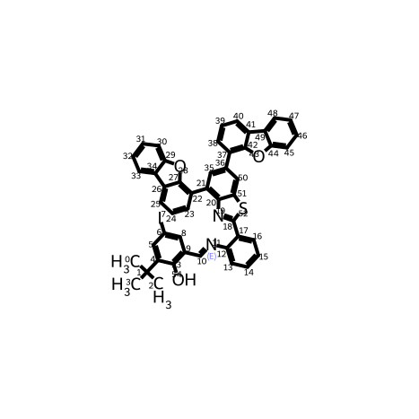 CC(C)(C)c1cc(I)cc(/C=N/c2ccccc2-c2nc3c(-c4cccc5c4oc4ccccc45)cc(-c4cccc5c4oc4ccccc45)cc3s2)c1O